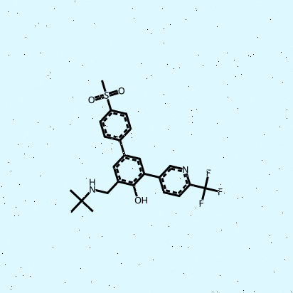 CC(C)(C)NCc1cc(-c2ccc(S(C)(=O)=O)cc2)cc(-c2ccc(C(F)(F)F)nc2)c1O